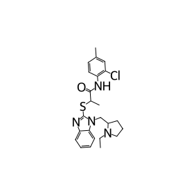 CCN1CCCC1Cn1c(SC(C)C(=O)Nc2ccc(C)cc2Cl)nc2ccccc21